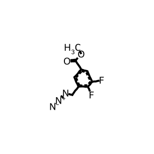 COC(=O)c1cc(F)c(F)c(CN=[N+]=[N-])c1